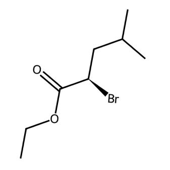 CCOC(=O)[C@H](Br)CC(C)C